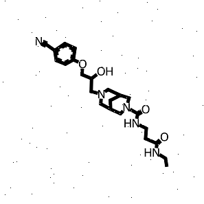 CCNC(=O)CCNC(=O)N1CC2CC(CN(CC(O)COc3ccc(C#N)cc3)C2)C1